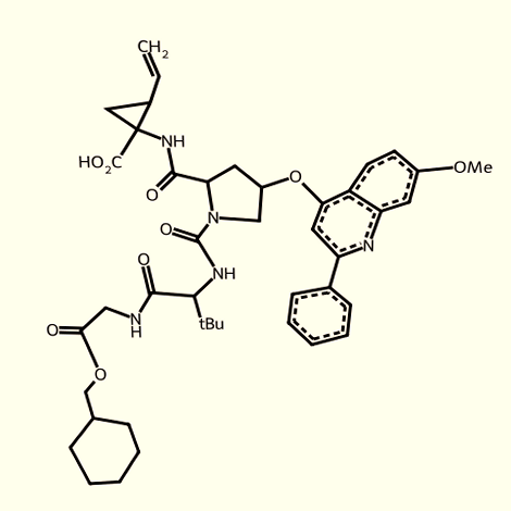 C=CC1CC1(NC(=O)C1CC(Oc2cc(-c3ccccc3)nc3cc(OC)ccc23)CN1C(=O)NC(C(=O)NCC(=O)OCC1CCCCC1)C(C)(C)C)C(=O)O